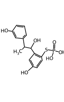 CC(c1cccc(O)c1)C(O)c1cc(O)ccc1SP(=O)(O)O